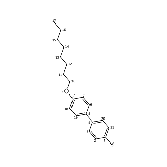 [CH2]c1ccc(-c2ccc(OCCCCCCCC)cc2)cc1